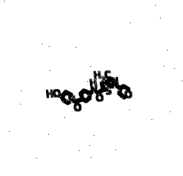 Cc1nn(C2CCOCC2)c2sc(C(=O)NC3CCC(C(=O)N4CCC(O)CC4)CC3)cc12